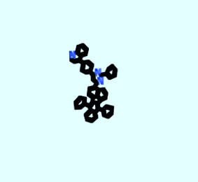 c1ccc(-c2nc(-c3ccc(-c4ccnc5ccccc45)cc3)cc(-c3ccc4c5c(cccc35)-c3c-4c(-c4ccccc4)c4ccccc4c3-c3ccccc3)n2)cc1